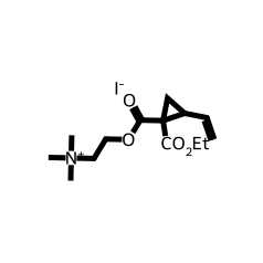 C=CC1CC1(C(=O)OCC)C(=O)OCC[N+](C)(C)C.[I-]